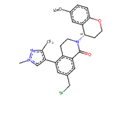 COc1ccc2c(c1)[C@@H](N1CCc3c(cc(CBr)cc3-c3cn(C)nc3C(F)(F)F)C1=O)CCO2